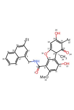 CCc1cc(CNC(=O)c2c(OC)cc(O)c3c2OC2=CC(O)=C(C(C)=O)C(=O)[C@]23C)c2ccccc2c1